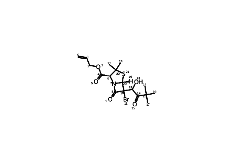 C=CCOC(=O)[C@@H]1N2C(=O)C(Br)(C(O)C(=O)C(C)(C)C)[C@H]2SC1(C)C